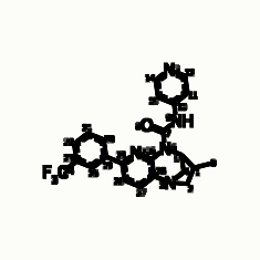 CC1CN2CC1N(C(=O)Nc1ccncc1)c1nc(-c3cccc(C(F)(F)F)c3)ccc12